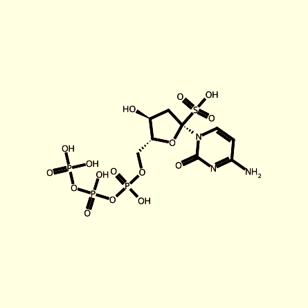 Nc1ccn([C@@]2(S(=O)(=O)O)C[C@H](O)[C@@H](COP(=O)(O)OP(=O)(O)OP(=O)(O)O)O2)c(=O)n1